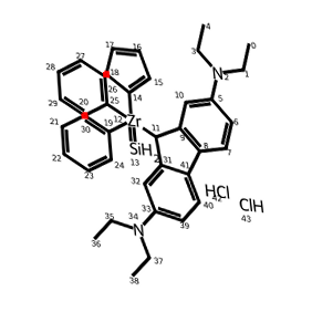 CCN(CC)c1ccc2c(c1)[CH]([Zr](=[SiH2])([C]1=CC=CC1)([c]1ccccc1)[c]1ccccc1)c1cc(N(CC)CC)ccc1-2.Cl.Cl